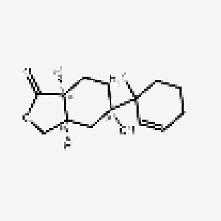 CC1([C@]2(O)CC[C@@H]3C(=O)OC[C@@H]3C2)C=CCCC1